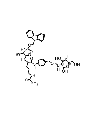 CC(C)C(NC(=O)OCC1c2ccccc2-c2ccccc21)C(=O)NC(CCCNC(N)=O)C(=O)Nc1ccc(COCN[C@H]2C(O)O[C@H](CO)[C@@H](F)[C@@H]2O)cc1